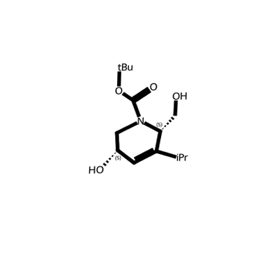 CC(C)C1=C[C@H](O)CN(C(=O)OC(C)(C)C)[C@@H]1CO